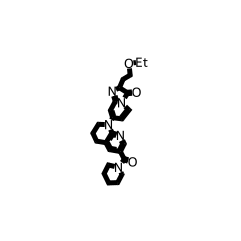 CCOCCC1N=C2C=C(N3CCCc4cc(C(=O)N5CCCCC5)cnc43)C=CN2C1=O